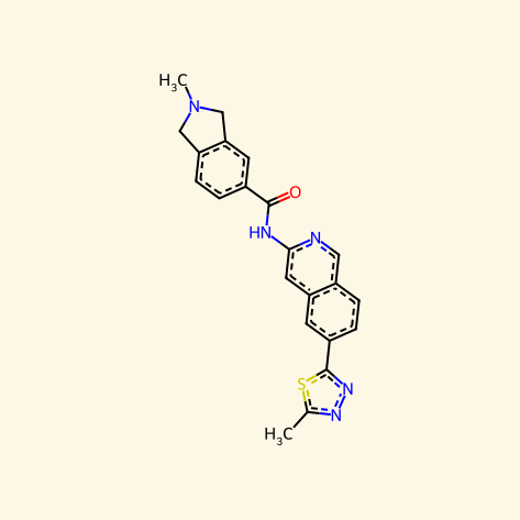 Cc1nnc(-c2ccc3cnc(NC(=O)c4ccc5c(c4)CN(C)C5)cc3c2)s1